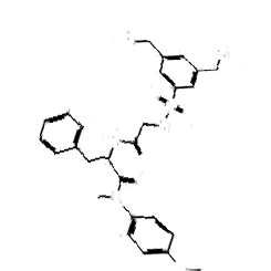 COc1ccc(N(C)C(=O)C(Cc2ccccc2)NC(=O)CNS(=O)(=O)c2cc(CN)cc(CN)c2)cc1